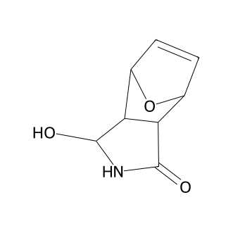 O=C1NC(O)C2C3C=CC(O3)C12